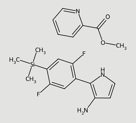 COC(=O)c1ccccn1.C[Si](C)(C)c1cc(F)c(-c2[nH]ccc2N)cc1F